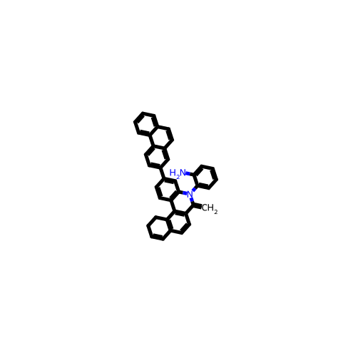 C=C1c2ccc3c(c2-c2ccc(-c4ccc5c(ccc6ccccc65)c4)cc2N1c1ccccc1N)CCC=C3